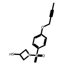 C=S(=O)(c1ccc(OCC#CC)cc1)N1CC(S)C1